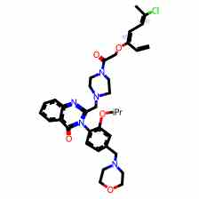 C=C/C(=C\C=C(/C)Cl)OCC(=O)N1CCN(Cc2nc3ccccc3c(=O)n2-c2ccc(CN3CCOCC3)cc2OC(C)C)CC1